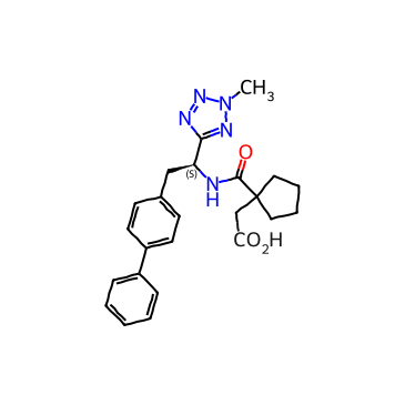 Cn1nnc([C@H](Cc2ccc(-c3ccccc3)cc2)NC(=O)C2(CC(=O)O)CCCC2)n1